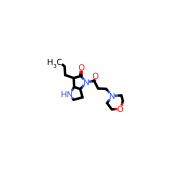 CCCC1C(=O)N(C(=O)CCN2CCOCC2)C2CCNC12